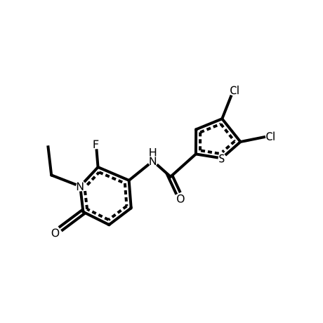 CCn1c(F)c(NC(=O)c2cc(Cl)c(Cl)s2)ccc1=O